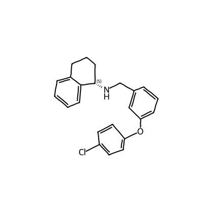 Clc1ccc(Oc2cccc(CN[C@H]3CCCc4ccccc43)c2)cc1